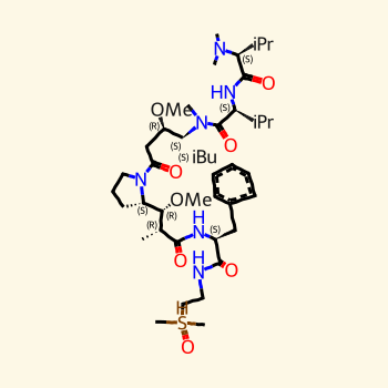 CC[C@H](C)[C@@H]([C@@H](CC(=O)N1CCC[C@H]1[C@H](OC)[C@@H](C)C(=O)N[C@@H](Cc1ccccc1)C(=O)NCC[SH](C)(C)=O)OC)N(C)C(=O)[C@@H](NC(=O)[C@H](C(C)C)N(C)C)C(C)C